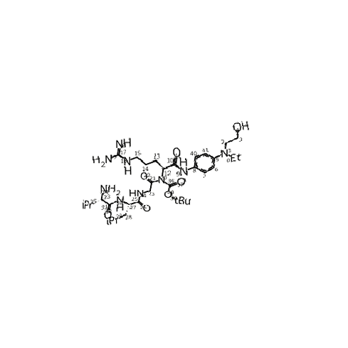 CCN(CCO)c1ccc(NC(=O)[C@H](CCCNC(=N)N)N(C(=O)CNC(=O)[C@H](CC(C)C)NC(=O)[C@@H](N)C(C)C)C(=O)OC(C)(C)C)cc1